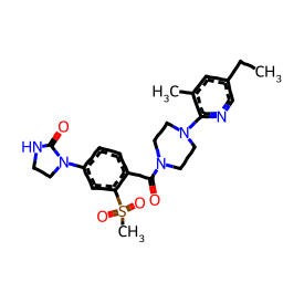 CCc1cnc(N2CCN(C(=O)c3ccc(N4CCNC4=O)cc3S(C)(=O)=O)CC2)c(C)c1